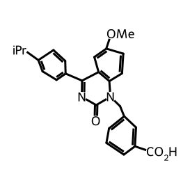 COc1ccc2c(c1)c(-c1ccc(C(C)C)cc1)nc(=O)n2Cc1cccc(C(=O)O)c1